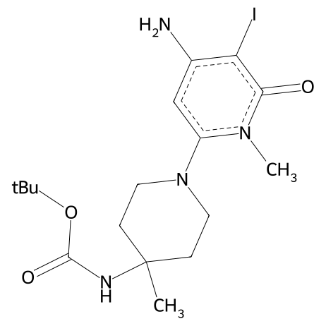 Cn1c(N2CCC(C)(NC(=O)OC(C)(C)C)CC2)cc(N)c(I)c1=O